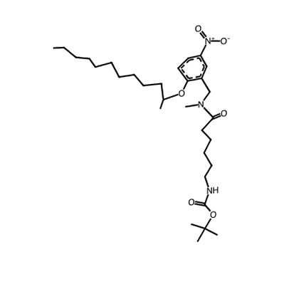 CCCCCCCCCCC(C)Oc1ccc([N+](=O)[O-])cc1CN(C)C(=O)CCCCCNC(=O)OC(C)(C)C